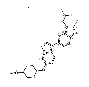 CC(=O)N[C@H]1CC[C@@H](Nc2ncc3c(-c4ccc5nc(C)n(CC(F)F)c5n4)ccn3n2)CC1